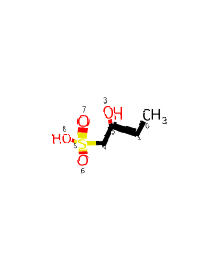 CC=C(O)CS(=O)(=O)O